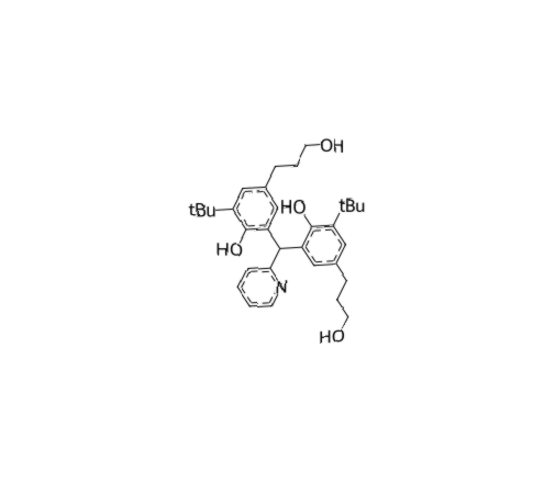 CC(C)(C)c1cc(CCCO)cc(C(c2ccccn2)c2cc(CCCO)cc(C(C)(C)C)c2O)c1O